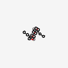 c1ccc(-c2ccc(N3c4ccccc4C4(c5ccccc5Oc5ccccc54)c4cc(-c5ccc6c(c5)C5(c7ccccc7Oc7ccccc75)c5ccccc5N6c5ccc(-c6ccccc6)cc5)ccc43)cc2)cc1